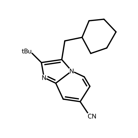 CC(C)(C)c1nc2cc(C#N)ccn2c1CC1CCCCC1